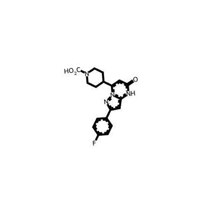 O=C(O)N1CCC(c2cc(=O)[nH]c3cc(-c4ccc(F)cc4)nn23)CC1